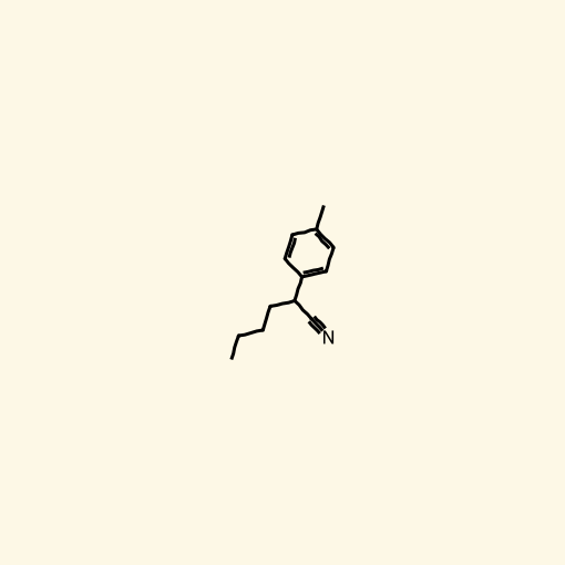 CCCCC(C#N)c1ccc(C)cc1